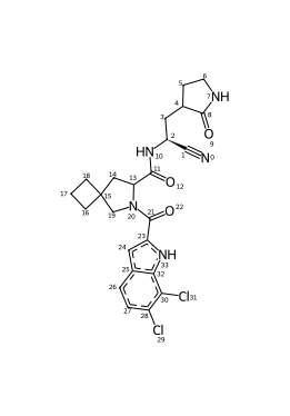 N#C[C@H](CC1CCNC1=O)NC(=O)C1CC2(CCC2)CN1C(=O)c1cc2ccc(Cl)c(Cl)c2[nH]1